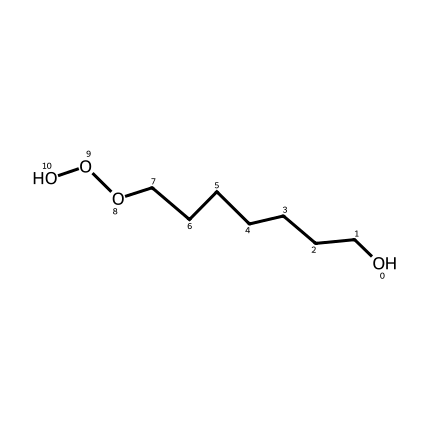 OCCCCCCCOOO